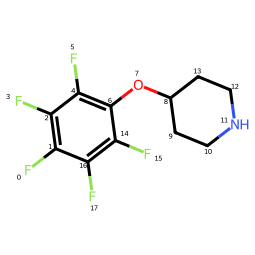 Fc1c(F)c(F)c(OC2CCNCC2)c(F)c1F